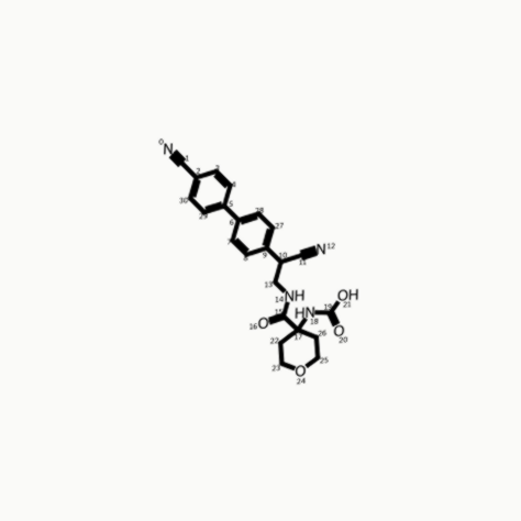 N#Cc1ccc(-c2ccc(C(C#N)CNC(=O)C3(NC(=O)O)CCOCC3)cc2)cc1